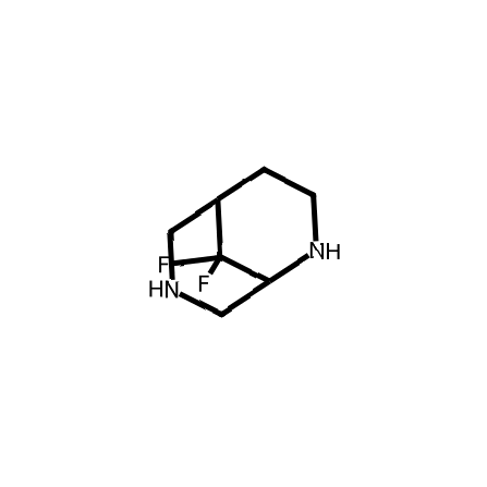 FC1(F)C2CCNC1CNC2